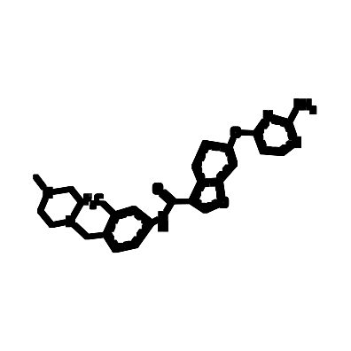 CN1CCN(Cc2ccc(NC(=O)c3coc4cc(Oc5ccnc(N)n5)ccc34)cc2C(F)(F)F)CC1